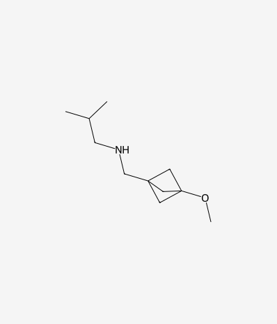 COC12CC(CNCC(C)C)(C1)C2